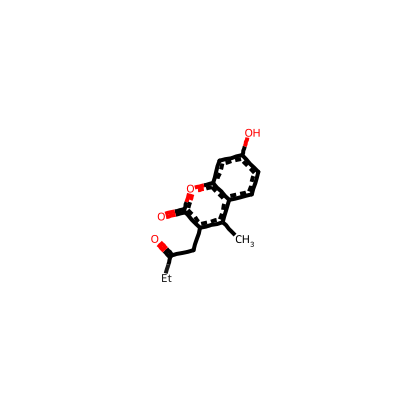 CCC(=O)Cc1c(C)c2ccc(O)cc2oc1=O